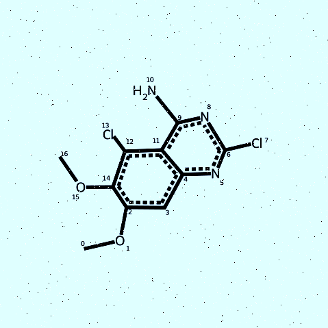 COc1cc2nc(Cl)nc(N)c2c(Cl)c1OC